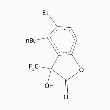 CCCCc1c(CC)ccc2c1C(O)(C(F)(F)F)C(=O)O2